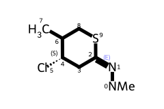 CN/N=C1\C[C@H](Cl)C(C)CS1